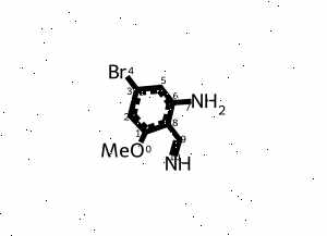 COc1cc(Br)cc(N)c1C=N